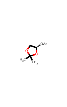 CC(=O)O[C@@H]1COC(C)(C)O1